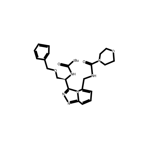 CC(C)(C)C(=O)N[C@H](COCc1ccccc1)c1nnc2cccc(CNC(=O)N3CCOCC3)n12